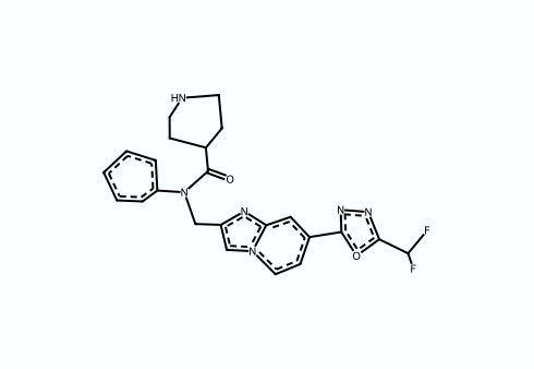 O=C(C1CCNCC1)N(Cc1cn2ccc(-c3nnc(C(F)F)o3)cc2n1)c1ccccc1